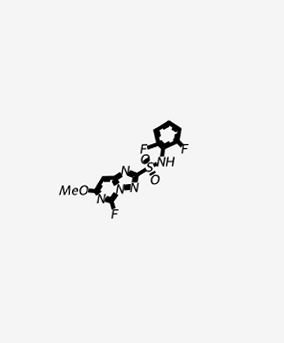 COc1cc2nc(S(=O)(=O)Nc3c(F)cccc3F)nn2c(F)n1